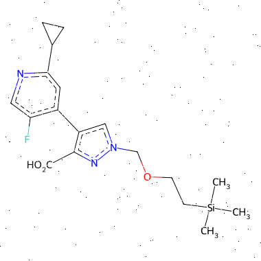 C[Si](C)(C)CCOCn1cc(-c2cc(C3CC3)ncc2F)c(C(=O)O)n1